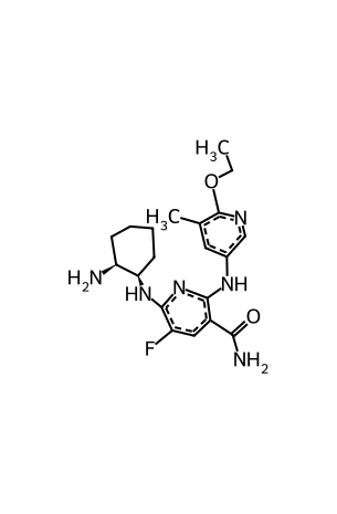 CCOc1ncc(Nc2nc(N[C@@H]3CCCC[C@@H]3N)c(F)cc2C(N)=O)cc1C